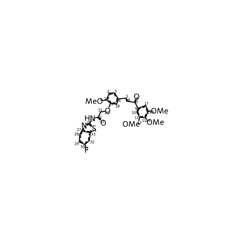 COc1ccc(C=CC(=O)c2cc(OC)c(OC)c(OC)c2)cc1OCC(=O)Nc1nc2ccc(F)cc2s1